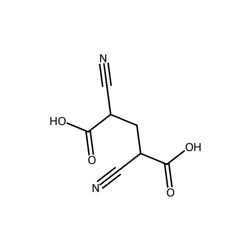 N#CC(CC(C#N)C(=O)O)C(=O)O